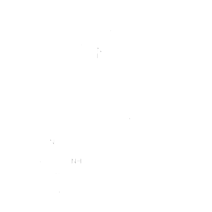 O=c1[nH]c(-c2ccc3c(c2)Oc2ccccc2C3C2CC3CCC(C2)N3)no1